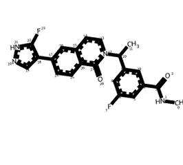 CNC(=O)c1cc(F)cc(C(C)n2ccc3cc(-c4cn[nH]c4F)ccc3c2=O)c1